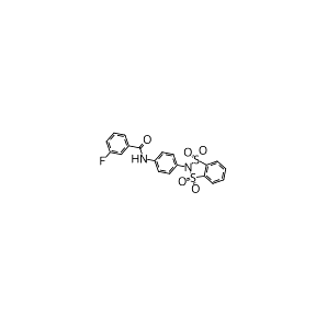 O=C(Nc1ccc(N2S(=O)(=O)c3ccccc3S2(=O)=O)cc1)c1cccc(F)c1